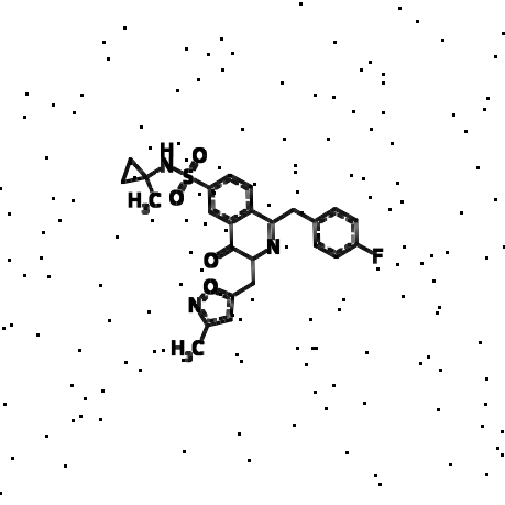 Cc1cc(CC2N=C(Cc3ccc(F)cc3)c3ccc(S(=O)(=O)NC4(C)CC4)cc3C2=O)on1